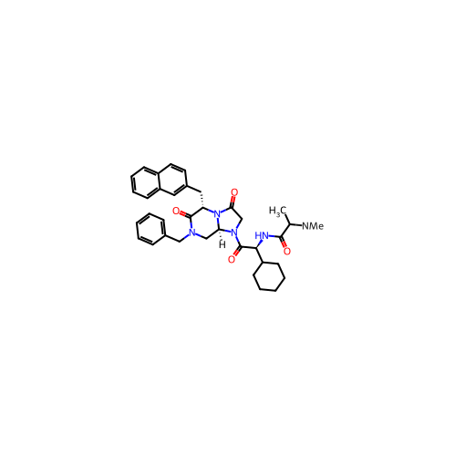 CNC(C)C(=O)N[C@H](C(=O)N1CC(=O)N2[C@@H]1CN(Cc1ccccc1)C(=O)[C@@H]2Cc1ccc2ccccc2c1)C1CCCCC1